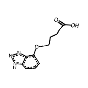 O=C(O)CCCOc1cccc2[nH]nnc12